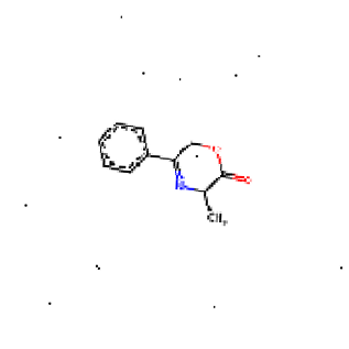 CC1N=C(c2ccccc2)COC1=O